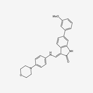 COc1cccc(-c2ccc3c(c2)NC(=O)C3=CNc2ccc(N3CCOCC3)cc2)c1